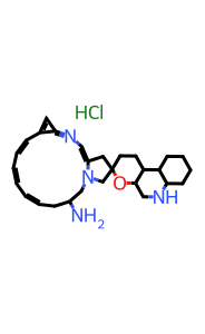 Cl.NC1CC=CC=CC=CC2=CC2=NC=C2CC3(CCC4C(CNC5CCCCC54)O3)CN2C1